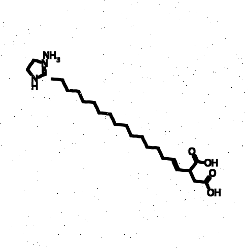 C1=NCCN1.CCCCCCCCCCCCCCCC=CC(CC(=O)O)C(=O)O.N